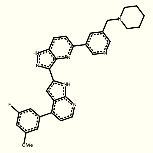 COc1cc(F)cc(-c2ccnc3[nH]c(-c4n[nH]c5ccc(-c6cncc(CN7CCCCC7)c6)nc45)cc23)c1